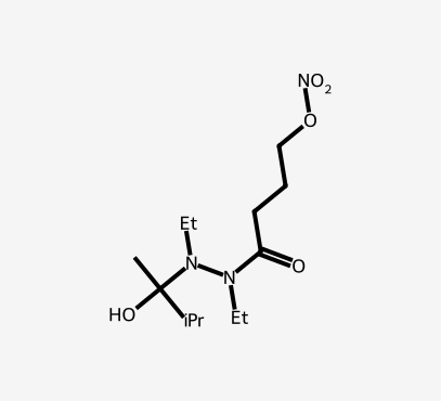 CCN(C(=O)CCCO[N+](=O)[O-])N(CC)C(C)(O)C(C)C